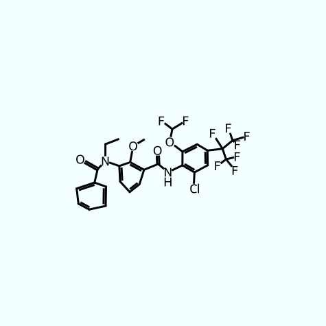 CCN(C(=O)c1ccccc1)c1cccc(C(=O)Nc2c(Cl)cc(C(F)(C(F)(F)F)C(F)(F)F)cc2OC(F)F)c1OC